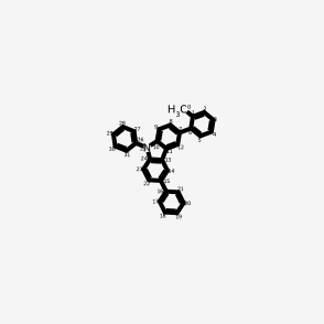 Cc1ccccc1-c1ccc2c(c1)c1cc(-c3ccccc3)ccc1n2-c1ccccc1